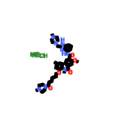 COc1cc(C(=O)N(C)c2ccc(C)cc2OCCCCCC(=O)N2CCN(C)CC2)ccc1C(=O)Nc1cccc2[nH]c(CN3CCN(C)CC3)nc12.Cl.Cl.Cl